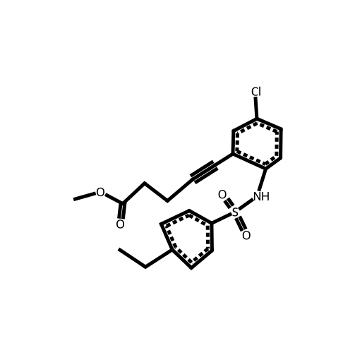 CCc1ccc(S(=O)(=O)Nc2ccc(Cl)cc2C#CCCC(=O)OC)cc1